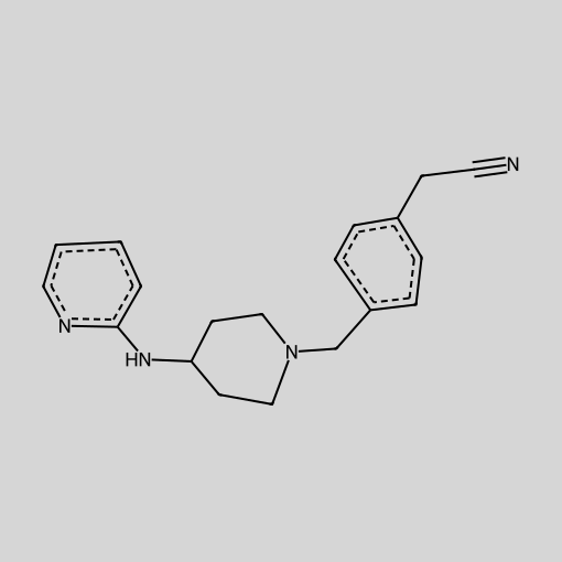 N#CCc1ccc(CN2CCC(Nc3ccccn3)CC2)cc1